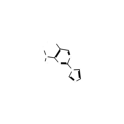 CCOC(=O)c1cnc(-n2ccnc2)nc1N(C)C